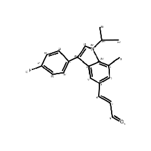 Cc1cc(/C=C/C=O)cc2c(-c3ccc(F)cc3)cn(C(C)C)c12